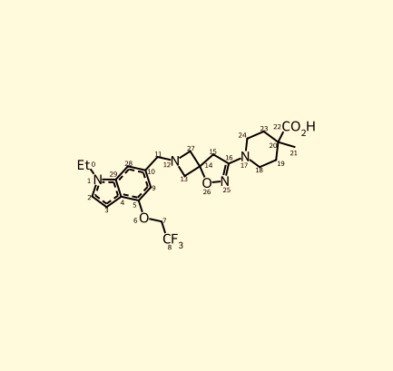 CCn1ccc2c(OCC(F)(F)F)cc(CN3CC4(CC(N5CCC(C)(C(=O)O)CC5)=NO4)C3)cc21